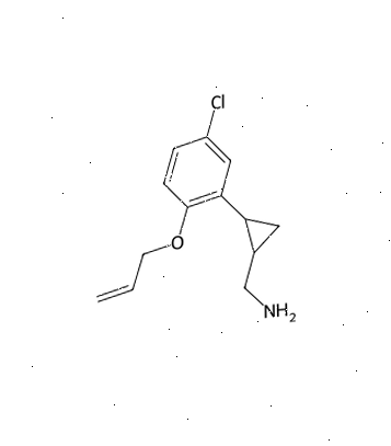 C=CCOc1ccc(Cl)cc1C1CC1CN